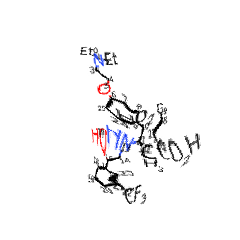 CCN(CC)CCOc1ccc(CC(C)NCC(O)c2cccc(C(F)(F)F)c2)cc1.O=C(O)C=CC(=O)O